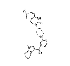 COc1ccc2c(c1)CCN(C1CCN(c3cc(C(=O)c4cn(C)c5ccccc45)ccn3)CC1)C(=O)N2